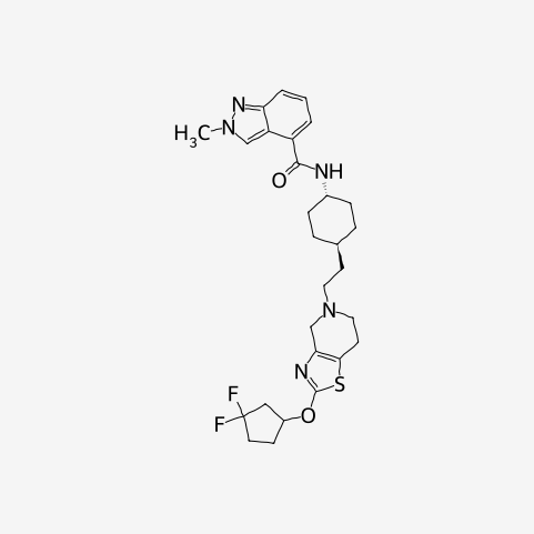 Cn1cc2c(C(=O)N[C@H]3CC[C@H](CCN4CCc5sc(OC6CCC(F)(F)C6)nc5C4)CC3)cccc2n1